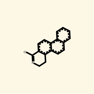 ClC1=NCCc2c1ccc1c2ccc2ccccc21